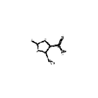 CC1CC(N)C(C(=O)O)C1